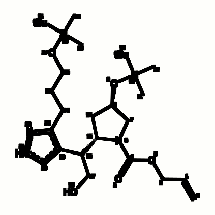 C=CCOC(=O)N1C[C@H](O[Si](C)(C)C(C)(C)C)C[C@H]1C(CO)c1c[nH]nc1CCCO[Si](C)(C)C(C)(C)C